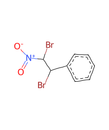 O=[N+]([O-])C(Br)C(Br)c1ccccc1